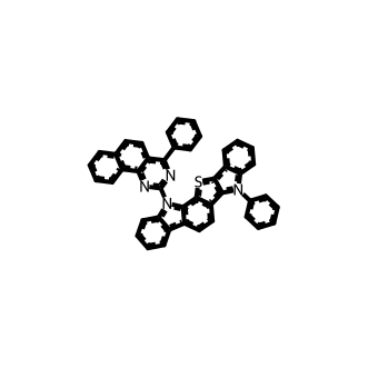 c1ccc(-c2nc(-n3c4ccccc4c4ccc5c(sc6c7ccccc7n(-c7ccccc7)c56)c43)nc3c2ccc2ccccc23)cc1